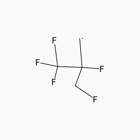 [CH2]C(F)(CF)C(F)(F)F